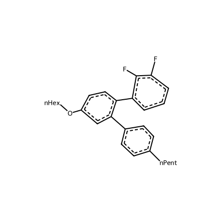 CCCCCCOc1ccc(-c2cccc(F)c2F)c(-c2ccc(CCCCC)cc2)c1